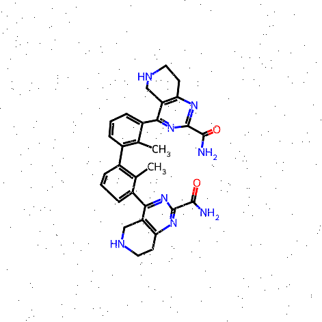 Cc1c(-c2cccc(-c3nc(C(N)=O)nc4c3CNCC4)c2C)cccc1-c1nc(C(N)=O)nc2c1CNCC2